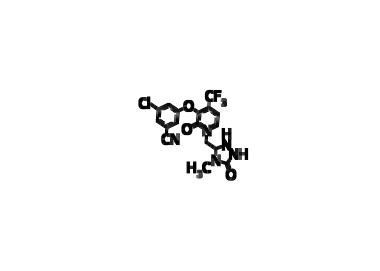 CN1C(=O)NNC1Cn1ccc(C(F)(F)F)c(Oc2cc(Cl)cc(C#N)c2)c1=O